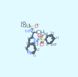 CC(N[S@+]([O-])C(C)(C)C)c1cc2cnccc2n1S(=O)(=O)c1ccccc1